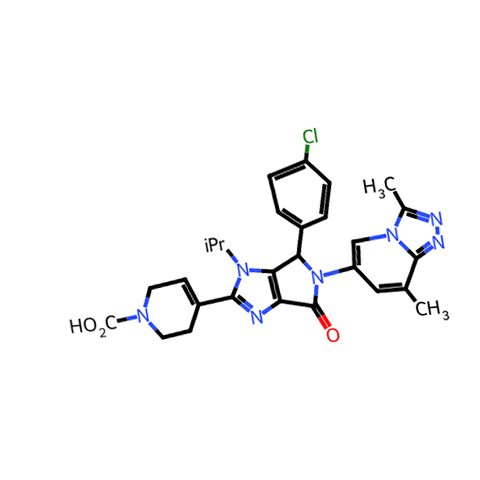 Cc1cc(N2C(=O)c3nc(C4=CCN(C(=O)O)CC4)n(C(C)C)c3C2c2ccc(Cl)cc2)cn2c(C)nnc12